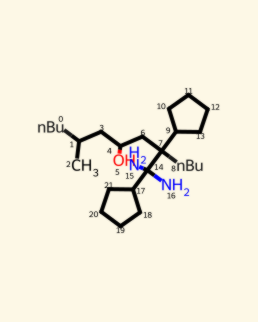 CCCCC(C)CC(O)CC(CCCC)(C1CCCC1)C(N)(N)C1CCCC1